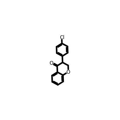 O=C1c2ccccc2OCC1c1ccc(Cl)cc1